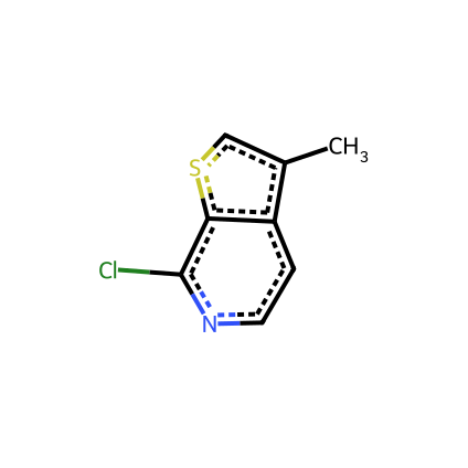 Cc1csc2c(Cl)nccc12